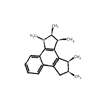 C[C@@H]1c2c3c(c4ccccc4c2C[C@@H]1C)N(C)[C@@H](C)[C@H]3C